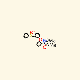 CNC(=O)C(=NOC)c1ccccc1Oc1cccc(C[S+]([O-])c2ccccc2)c1